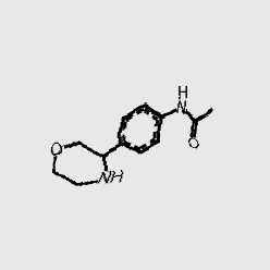 CC(=O)Nc1ccc(C2COCCN2)cc1